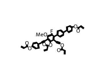 C=CC(=O)OC#Cc1c(OC(=O)C=C)c(C#Cc2ccc(OC(=O)C=C)cc2)c(OC)c(F)c1-c1ccc(-c2ccc(OC(=O)C=C)cc2)cc1